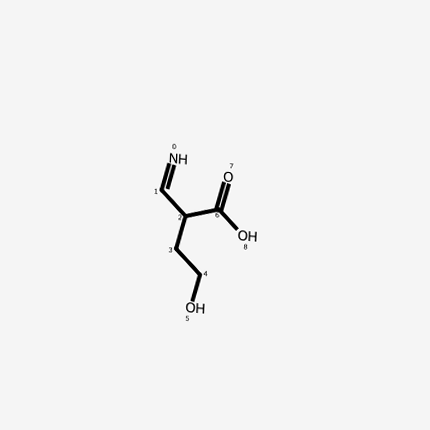 N=CC(CCO)C(=O)O